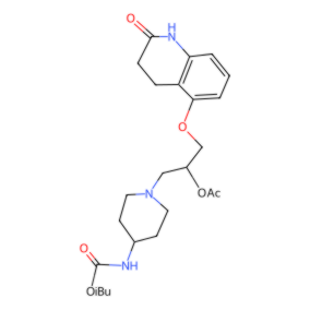 CC(=O)OC(COc1cccc2c1CCC(=O)N2)CN1CCC(NC(=O)OCC(C)C)CC1